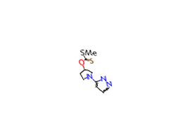 CSC(=S)O[C@@H]1CCN(c2cccnn2)C1